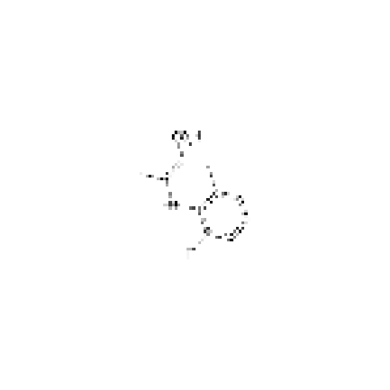 CC(=CC(=O)O)Nc1c(F)cccc1F